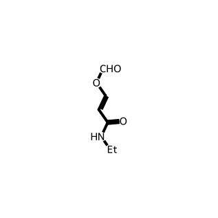 CCNC(=O)C=COC=O